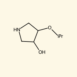 CC(C)OC1CNCC1O